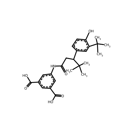 CC(C)(C)c1cc(C(CC(=O)Nc2cc(C(=O)O)cc(C(=O)O)c2)C(C)(C)C)ccc1O